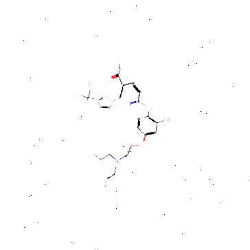 CCCN(CCC)CCOc1ccc(Nc2ccc(C(C)=O)c(-n3ccc(C(F)(F)F)n3)n2)c(N)c1